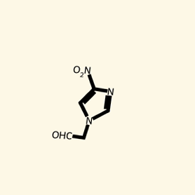 O=CCn1cnc([N+](=O)[O-])c1